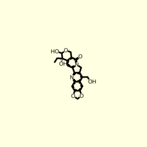 CC[C@]1(O)c2cc3n(c(=O)c2COC1O)Cc1c-3nc2cc3c(cc2c1CO)OCO3